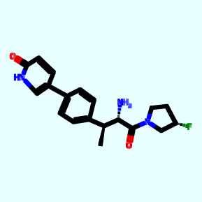 C[C@@H](c1ccc(-c2ccc(=O)[nH]c2)cc1)[C@H](N)C(=O)N1CC[C@H](F)C1